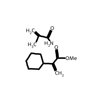 C=C(C(=O)OC)C1CCCCC1.C=C(C)C(N)=O